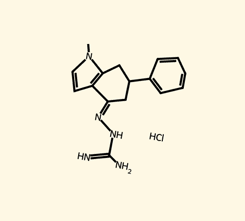 Cl.Cn1ccc2c1CC(c1ccccc1)C/C2=N\NC(=N)N